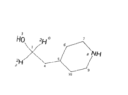 [2H]C([2H])(O)CC1CCNCC1